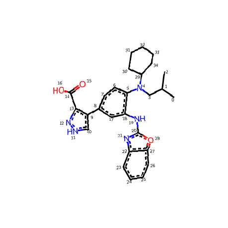 CC(C)CN(c1ccc(-c2c[nH]nc2C(=O)O)cc1Nc1nc2ccccc2o1)C1CCCCC1